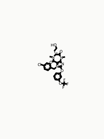 CN1C(=O)[C@@H](CCO)N(C)C(=O)c2c1nc(Oc1cccc(OC(F)(F)F)c1)n2Cc1ccc(Cl)cc1